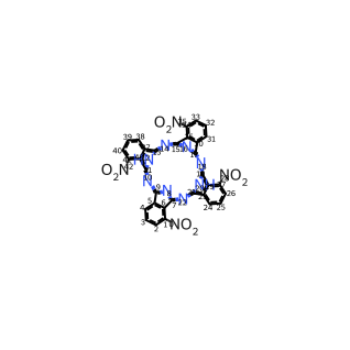 O=[N+]([O-])c1cccc2c1-c1nc-2nc2[nH]c(nc3nc(nc4[nH]c(n1)c1cccc([N+](=O)[O-])c41)-c1cccc([N+](=O)[O-])c1-3)c1cccc([N+](=O)[O-])c21